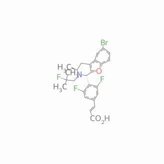 C[C@H]1Cc2c(oc3ccc(Br)cc23)[C@H](c2c(F)cc(/C=C/C(=O)O)cc2F)N1CC(C)(C)F